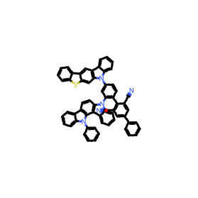 N#Cc1cc(-c2ccccc2)cc(C#N)c1-c1ccc(-n2c3ccccc3c3cc4c(cc32)sc2ccccc24)cc1-n1c2ccccc2c2c1ccc1c3ccccc3n(-c3ccccc3)c12